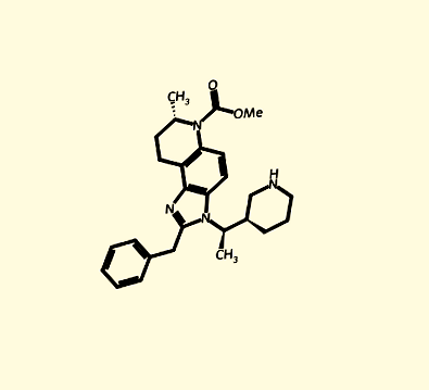 COC(=O)N1c2ccc3c(nc(Cc4ccccc4)n3[C@H](C)[C@@H]3CCCNC3)c2CC[C@@H]1C